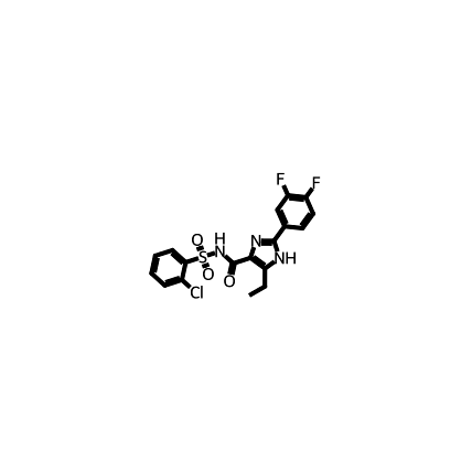 CCc1[nH]c(-c2ccc(F)c(F)c2)nc1C(=O)NS(=O)(=O)c1ccccc1Cl